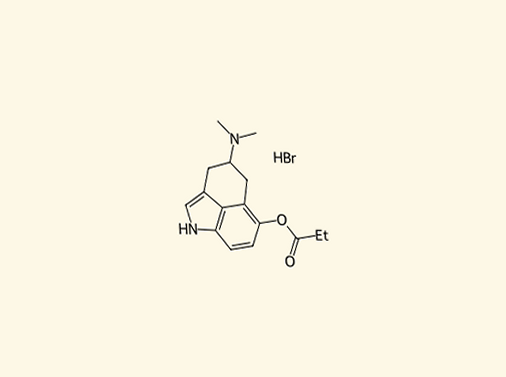 Br.CCC(=O)Oc1ccc2[nH]cc3c2c1CC(N(C)C)C3